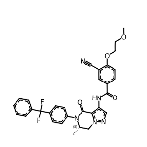 COCCOc1ccc(C(=O)Nc2cnn3c2C(=O)N(c2ccc(C(F)(F)c4ccccc4)cc2)[C@@H](C)C3)cc1C#N